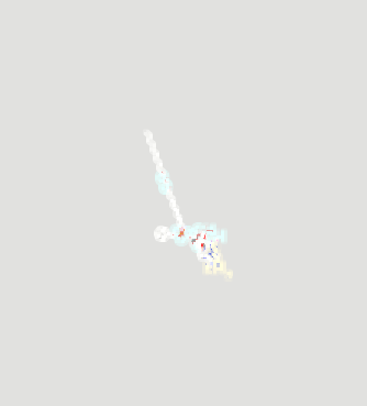 CCCCCCCCCCOCOCCCCCCCCCP(=O)(OCc1ccccc1)OC[C@H]1O[C@@](C#N)(c2ccc3c(N)ncnn23)C(O)[C@H]1O